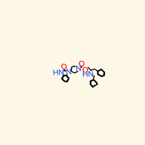 O=C(OCC(Cc1ccccc1)NCc1ccccc1)N1CCC(n2c(=O)[nH]c3ccccc32)CC1